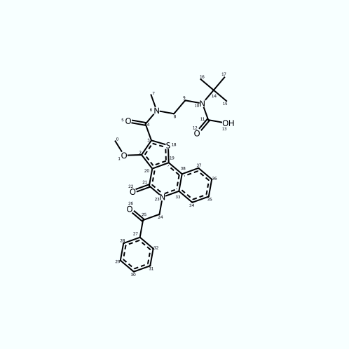 COc1c(C(=O)N(C)CCN(C(=O)O)C(C)(C)C)sc2c1c(=O)n(CC(=O)c1ccccc1)c1ccccc21